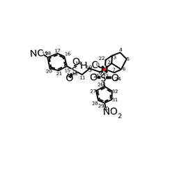 CN(C1C2CCC1CN(CCCS(=O)(=O)c1ccc(C#N)cc1)C2)S(=O)(=O)c1ccc([N+](=O)[O-])cc1